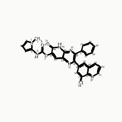 Cn1cccc1NC(=O)Oc1cc2nc(-c3cc(Cl)c4ncccc4c3)c(-c3ccccc3)nc2[nH]c1=O